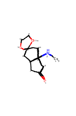 CNC12CC(=O)CC1CC1(C2)OCCO1